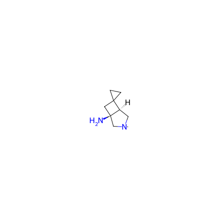 N[C@]12C[N]C[C@@H]1C1(CC1)C2